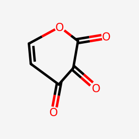 O=C1C=COC(=O)C1=O